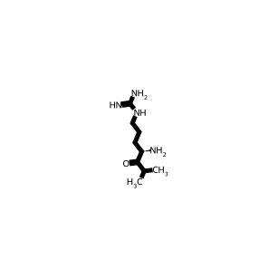 CC(C)C(=O)[C@@H](N)CCCNC(=N)N